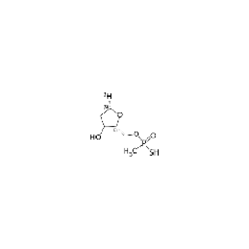 [3H][C@H]1CC(O)[C@@H](COP(C)(=O)S)O1